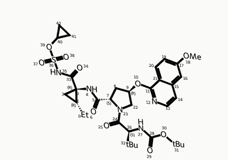 CC[C@@H]1C[C@]1(NC(=O)[C@@H]1C[C@@H](Oc2nccc3cc(OC)ccc23)CN1C(=O)[C@@H](NC(=O)OC(C)(C)C)C(C)(C)C)C(=O)NS(=O)(=O)OC1CC1